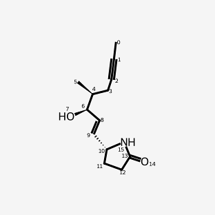 CC#CC[C@H](C)[C@H](O)/C=C/[C@H]1CCC(=O)N1